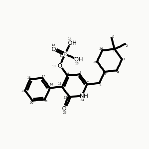 CC1(C)CCC(Cc2cc(OP(=O)(O)O)c(-c3ccccc3)c(=O)[nH]2)CC1